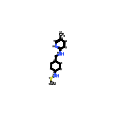 CC(C)(C)SNC1CCC(CNc2ccc(C(F)(F)F)cn2)CC1